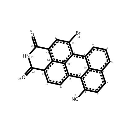 N#Cc1ccc2cccc3c4c(Br)cc5c6c(ccc(c1c23)c64)C(=O)NC5=O